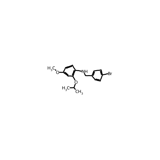 COc1ccc(NCc2ccc(Br)cc2)c(OC(C)C)c1